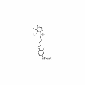 CCCCCc1ccc(OCCCCNc2ncnc(C)c2Br)c(C)c1